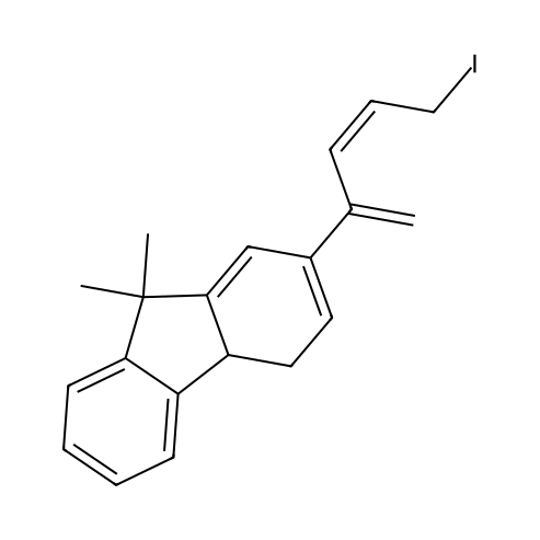 C=C(/C=C\CI)C1=CCC2C(=C1)C(C)(C)c1ccccc12